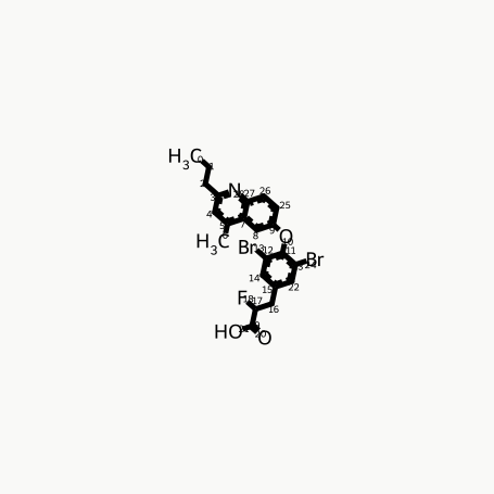 CCCc1cc(C)c2cc(Oc3c(Br)cc(CC(F)C(=O)O)cc3Br)ccc2n1